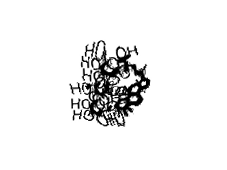 C[C@H](CC[C@@H](O[C@@H]1O[C@H](CO)[C@@H](O)[C@H](O)[C@H]1O[C@H]1O[C@@H](CO)[C@H](O[C@H]2O[C@@H](CO)[C@H](O)[C@@H](O)[C@@H]2O)[C@@H](O)[C@@H]1O)C(C)(C)O)C1CC[C@@]2(C)C3CC=C4C(CC[C@H](O)C4(C)C)[C@]3(C)[C@H](O)C[C@]12C